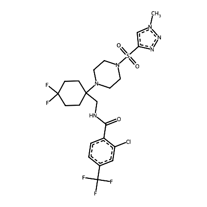 Cn1cc(S(=O)(=O)N2CCN(C3(CNC(=O)c4ccc(C(F)(F)F)cc4Cl)CCC(F)(F)CC3)CC2)nn1